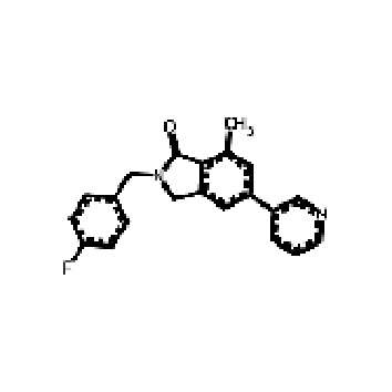 Cc1cc(-c2cccnc2)cc2c1C(=O)N(Cc1ccc(F)cc1)C2